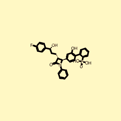 O=C1[C@H](CC[C@H](O)c2ccc(F)cc2)[C@@H](c2ccc(-c3ccccc3P(=O)(O)O)c(O)c2)N1c1ccccc1